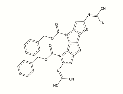 N#CC(C#N)=Nc1cc2c(s1)c1sc3cc(N=C(C#N)C#N)n(C(=O)OCc4ccccc4)c3c1n2C(=O)OCc1ccccc1